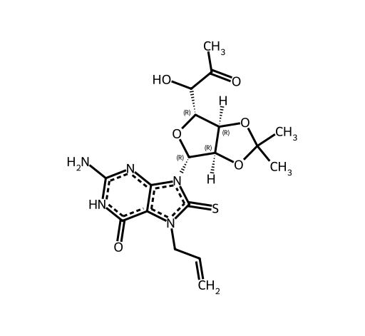 C=CCn1c(=S)n([C@@H]2O[C@H](C(O)C(C)=O)[C@H]3OC(C)(C)O[C@H]32)c2nc(N)[nH]c(=O)c21